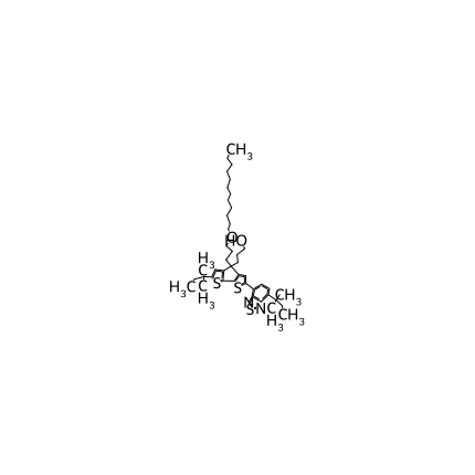 CCCCCCCCCCCCOCCCC1(CCCO)c2cc(-c3ccc(C(C)(C)CC)c4nsnc34)sc2-c2sc(C(C)(C)CC)cc21